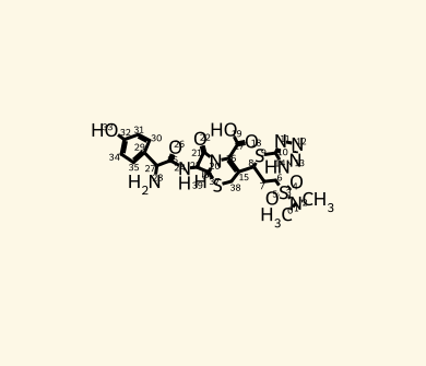 CN(C)S(=O)(=O)CCC(Sc1nnn[nH]1)C1=C(C(=O)O)N2C(=O)C(NC(=O)C(N)c3ccc(O)cc3)[C@@H]2SC1